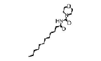 CCCCCCCCCCCC(=O)NC(=O)N1CCOCC1